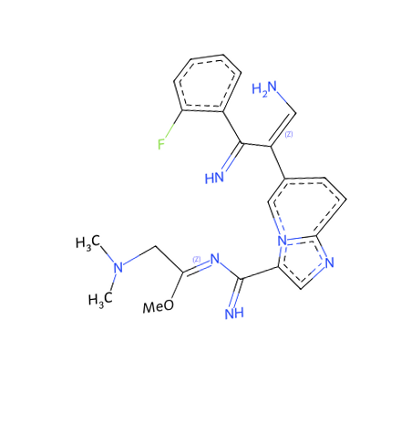 CO/C(CN(C)C)=N\C(=N)c1cnc2ccc(/C(=C/N)C(=N)c3ccccc3F)cn12